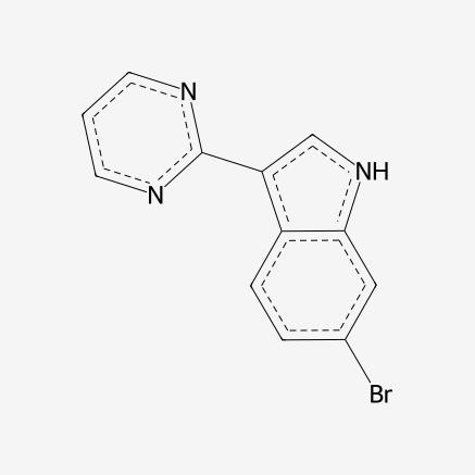 Brc1ccc2c(-c3ncccn3)c[nH]c2c1